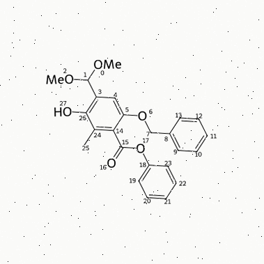 COC(OC)c1cc(OCc2ccccc2)c(C(=O)Oc2ccccc2)c(C)c1O